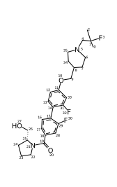 CC(C)(F)CN1CCC(COc2ccc(-c3ccc(C(=O)N4CCC[C@@H]4CO)cc3F)c(F)c2)CC1